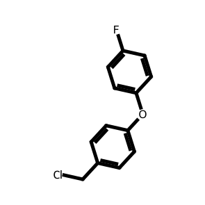 Fc1ccc(Oc2ccc(CCl)cc2)cc1